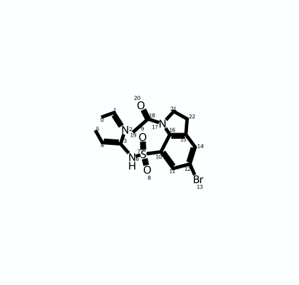 C/C=N\C(=C/C)NS(=O)(=O)c1cc(Br)cc2c1N(C(C)=O)CC2